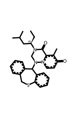 CC[C@H](CC(C)C)N1CN(C2c3ccccc3CSc3ccccc32)n2ccc(=O)c(C)c2C1=O